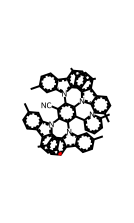 Cc1ccc2c3ccc(C)cc3n(-c3c(C#N)c(-n4c5cc(C)ccc5c5ccc(C)cc54)c(-n4c5cc(C)ccc5c5ccc(C)cc54)c(-c4cccc(C)n4)c3-n3c4cc(C)ccc4c4ccc(C)cc43)c2c1